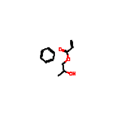 C=CC(=O)OCC(C)O.c1ccccc1